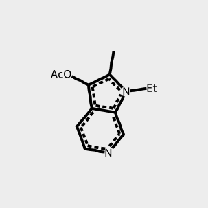 CCn1c(C)c(OC(C)=O)c2ccncc21